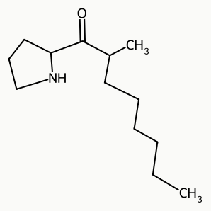 CCCCCCC(C)C(=O)C1CCCN1